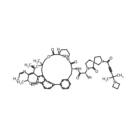 C=C/C(=C(\N=C/C)[C@H](C)OC)c1c2c3cc(ccc3n1CC)-c1cccc(c1)C[C@H](NC(=O)[C@H](C(C)C)N1CC[C@]3(CCN(C(=O)C#CC(C)(C)N4CCC4)C3)C1=O)C(=O)N1CCC[C@H](N1)C(=O)OCC(C)(C)C2